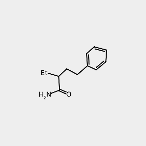 CCC(CCc1ccccc1)C(N)=O